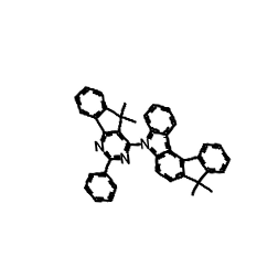 CC1(C)c2ccccc2-c2c1ccc1c2c2ccccc2n1-c1nc(-c2ccccc2)nc2c1C(C)(C)c1ccccc1-2